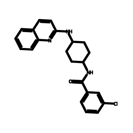 O=C(NC1CCC(Nc2ccc3ccccc3n2)CC1)c1cccc(Cl)c1